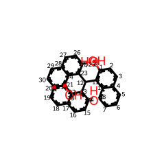 Oc1ccc2cccc(O)c2c1C(c1cccc2ccccc12)c1c(O)ccc2cccc(O)c12